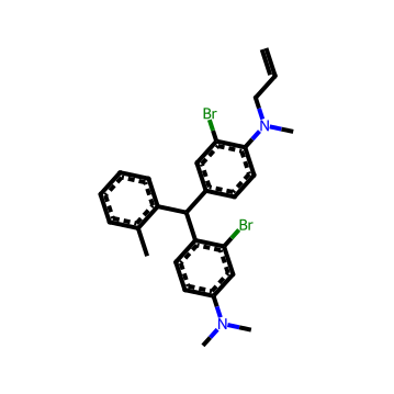 C=CCN(C)c1ccc(C(c2ccccc2C)c2ccc(N(C)C)cc2Br)cc1Br